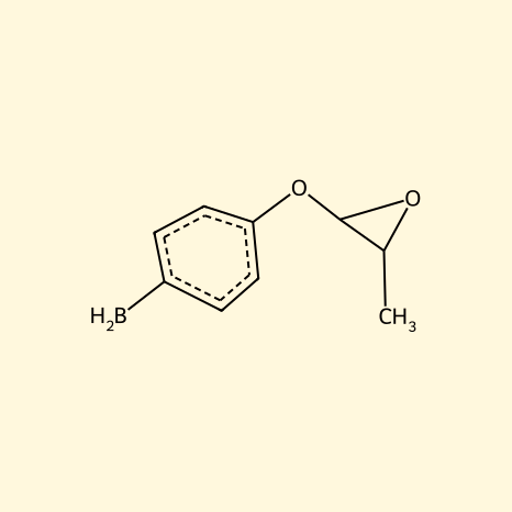 Bc1ccc(OC2OC2C)cc1